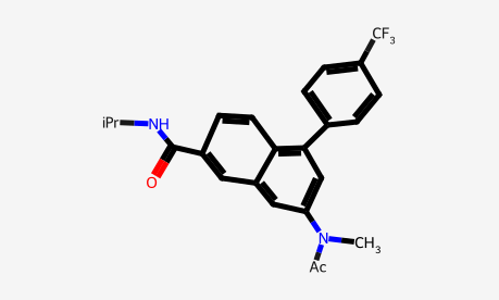 CC(=O)N(C)c1cc(-c2ccc(C(F)(F)F)cc2)c2ccc(C(=O)NC(C)C)cc2c1